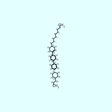 CCCCCCCCCC1CC=C(c2ccc(-c3ccc([C@H]4CC[C@H](CCC)CC4)cc3)cc2)CC1